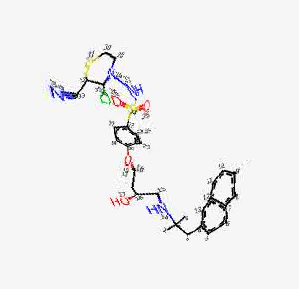 CC(C)(Cc1ccc2ccccc2c1)NC[C@@H](O)COc1ccc(S(=O)(=O)NN2CCSC(C#N)C2Cl)cc1